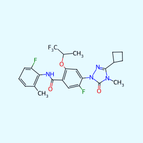 Cc1cccc(F)c1NC(=O)c1cc(F)c(-n2nc(C3CCC3)n(C)c2=O)cc1OC(C)C(F)(F)F